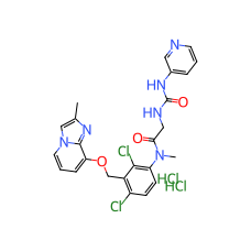 Cc1cn2cccc(OCc3c(Cl)ccc(N(C)C(=O)CNC(=O)Nc4cccnc4)c3Cl)c2n1.Cl.Cl